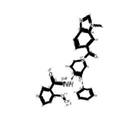 Cn1cnc2ccc(C(=O)N3CC[C@@H](NC(=O)c4ccccc4OC(F)(F)F)[C@@H](c4ccccc4)C3)cc21